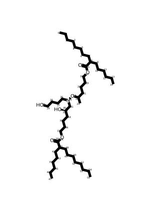 CCCCCCCCC(CCCCCC)C(=O)OCCCCC(C)ON(CCCCO)C[C@H](O)CCCCOC(=O)C(CCCCCC)CCCCCCCC